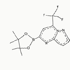 CC1(C)OB(c2cc(C(F)(F)F)n3nccc3n2)OC1(C)C